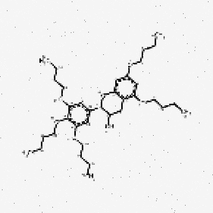 CCCCOc1cc(OCCCC)c2c(c1)O[C@H](c1cc(OCCCC)c(OCCCC)c(OCCCC)c1)C(O)C2